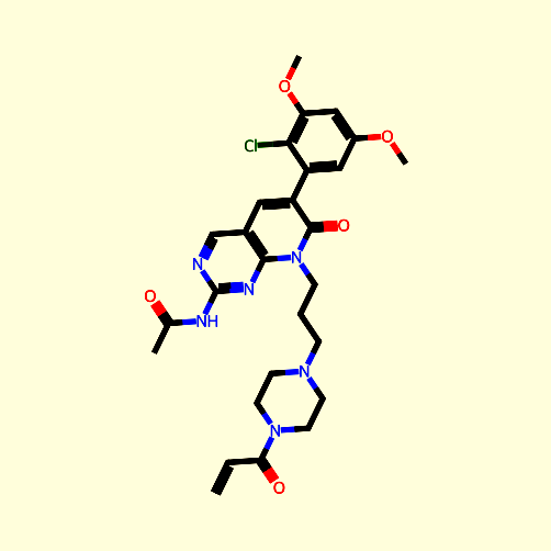 C=CC(=O)N1CCN(CCCn2c(=O)c(-c3cc(OC)cc(OC)c3Cl)cc3cnc(NC(C)=O)nc32)CC1